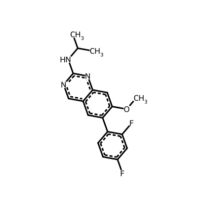 COc1cc2nc(NC(C)C)ncc2cc1-c1ccc(F)cc1F